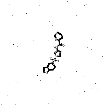 O=C(Nc1ccn(S(=O)(=O)c2ccc3occc3c2)c1)c1ccccn1